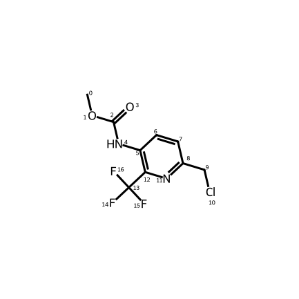 COC(=O)Nc1ccc(CCl)nc1C(F)(F)F